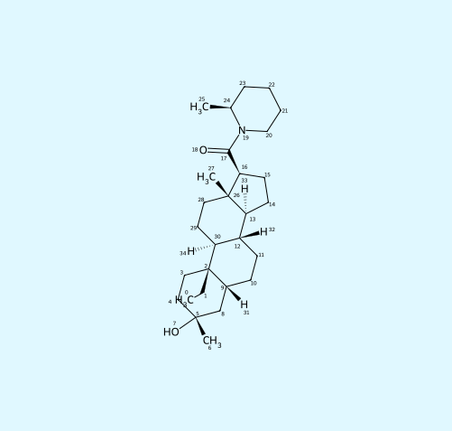 CC[C@]12CC[C@@](C)(O)C[C@H]1CC[C@H]1[C@@H]3CC[C@H](C(=O)N4CCCC[C@@H]4C)[C@@]3(C)CC[C@@H]12